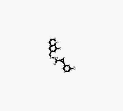 O=C(N/N=C\c1cc(Cl)c2ncccc2c1)C1CC1c1cccc(Cl)c1